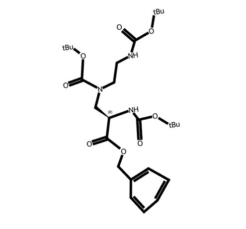 CC(C)(C)OC(=O)NCCN(C[C@@H](NC(=O)OC(C)(C)C)C(=O)OCc1ccccc1)C(=O)OC(C)(C)C